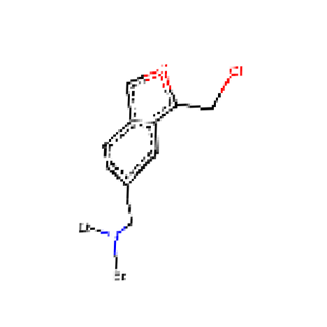 CCN(CC)Cc1ccc2coc(CO)c2c1